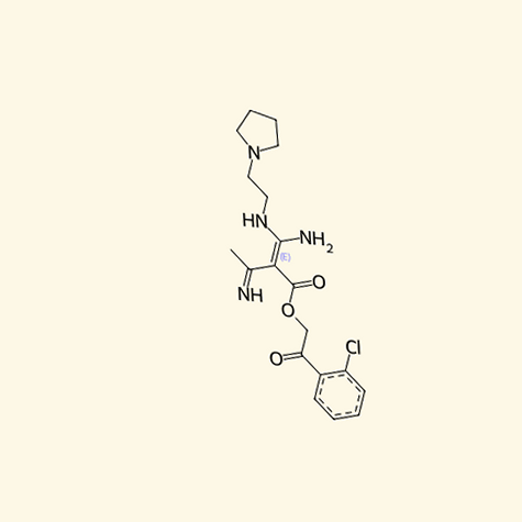 CC(=N)/C(C(=O)OCC(=O)c1ccccc1Cl)=C(/N)NCCN1CCCC1